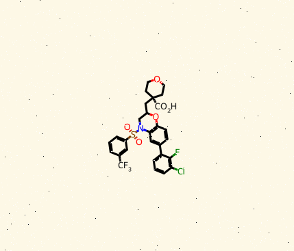 O=C(O)C1(CC2CN(S(=O)(=O)c3cccc(C(F)(F)F)c3)c3cc(-c4cccc(Cl)c4F)ccc3O2)CCOCC1